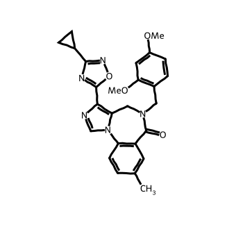 COc1ccc(CN2Cc3c(-c4nc(C5CC5)no4)ncn3-c3ccc(C)cc3C2=O)c(OC)c1